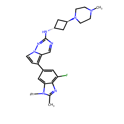 Cc1nc2c(F)cc(-c3ccn4nc(N[C@H]5C[C@H](N6CCN(C)CC6)C5)ncc34)cc2n1C(C)C